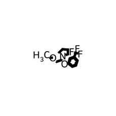 CCOCC(Oc1cccc(C(F)(F)F)c1)N1CCCC1